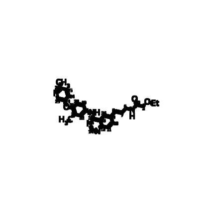 CCOCC(=O)NCC=Cc1ccc2ncnc(Nc3ccc(Oc4ccc(C)nc4)c(C)c3)c2c1